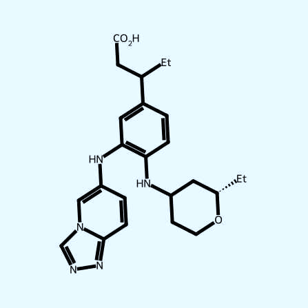 CCC(CC(=O)O)c1ccc(NC2CCO[C@@H](CC)C2)c(Nc2ccc3nncn3c2)c1